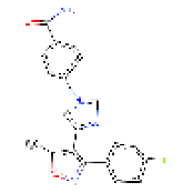 NC(=O)c1ccc(-n2cnc(-c3c(-c4ccc(F)cc4)noc3C(F)(F)F)c2)cc1